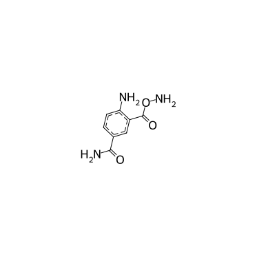 NOC(=O)c1cc(C(N)=O)ccc1N